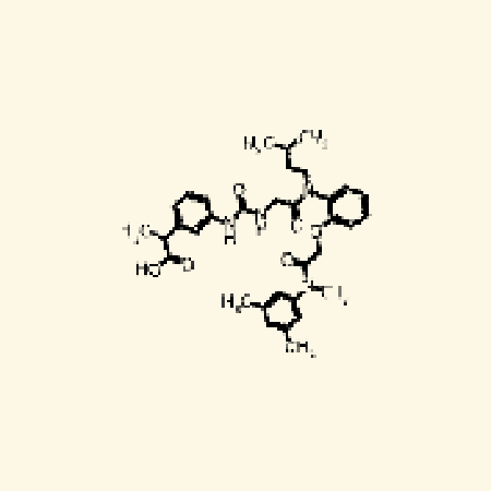 Cc1cc(C)cc(N(C)C(=O)COc2ccccc2N(CCC(C)C)C(=O)CNC(=O)Nc2cccc(C(C)C(=O)O)c2)c1